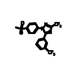 CS(=O)(=O)c1ccc(-n2nc(C(F)(F)F)nc2-c2cccc(C(F)(F)F)c2)cc1